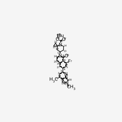 Cc1cc(-c2cc(F)c3c(=O)n(C4CCN(C(=O)OC(C)(C)C)C5(CC5)C4)ccc3c2)nc2cn(C)nc12